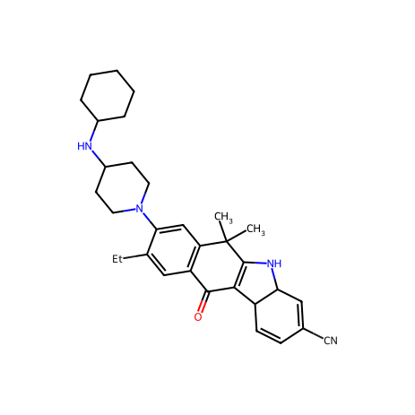 CCc1cc2c(cc1N1CCC(NC3CCCCC3)CC1)C(C)(C)C1=C(C2=O)C2C=CC(C#N)=CC2N1